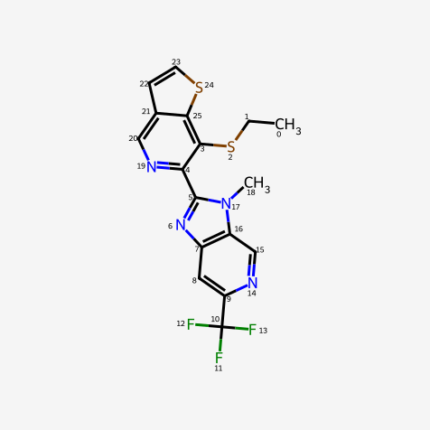 CCSc1c(-c2nc3cc(C(F)(F)F)ncc3n2C)ncc2ccsc12